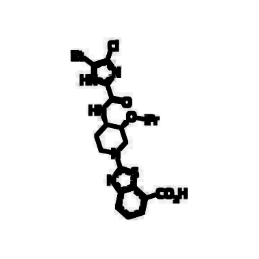 CCc1[nH]c(C(=O)N[C@@H]2CCN(c3nc4cccc(C(=O)O)c4s3)C[C@@H]2OC(C)C)nc1Cl